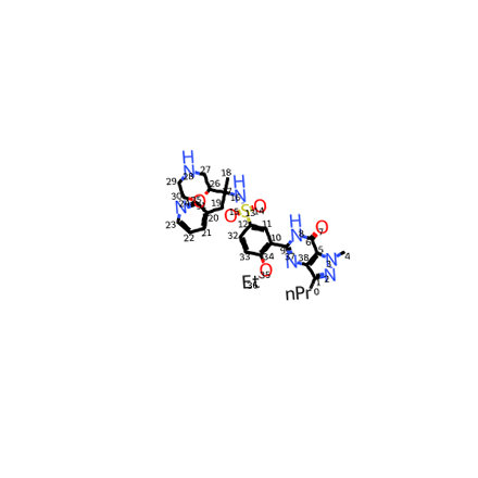 CCCc1nn(C)c2c(=O)[nH]c(-c3cc(S(=O)(=O)NC(C)(Cc4cccnc4)C4CNCCO4)ccc3OCC)nc12